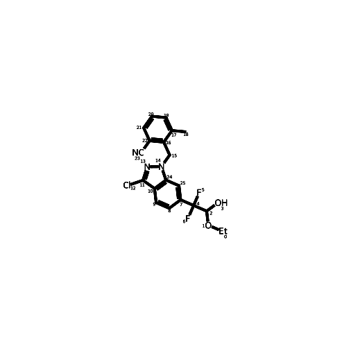 CCOC(O)C(F)(F)c1ccc2c(Cl)nn(Cc3c(C)cccc3C#N)c2c1